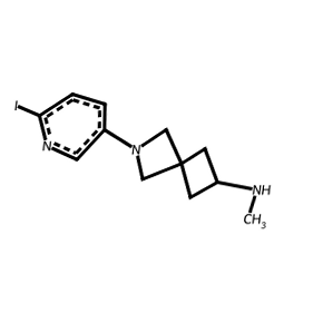 CNC1CC2(C1)CN(c1ccc(I)nc1)C2